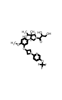 COc1ccc([C@@H]2CN(C(=O)C(O)CO)C[C@@]2(C)C(C)O)cc1OC1CN(c2ccc(OC(F)(F)F)cn2)C1